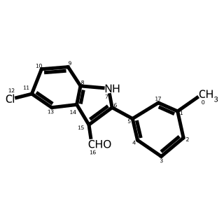 Cc1cccc(-c2[nH]c3ccc(Cl)cc3c2C=O)c1